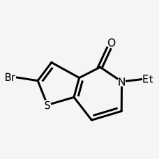 CCn1ccc2sc(Br)cc2c1=O